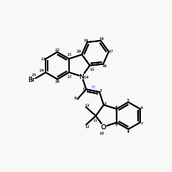 C/C(=C\C1c2ccccc2OC1(C)C)n1c2ccccc2c2ccc(Br)cc21